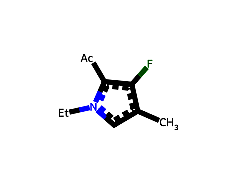 CCn1cc(C)c(F)c1C(C)=O